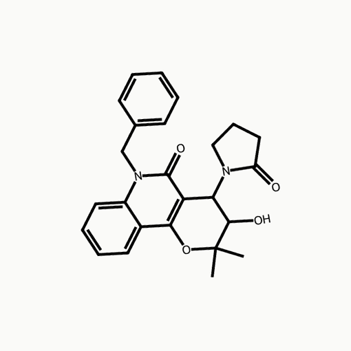 CC1(C)Oc2c(c(=O)n(Cc3ccccc3)c3ccccc23)C(N2CCCC2=O)C1O